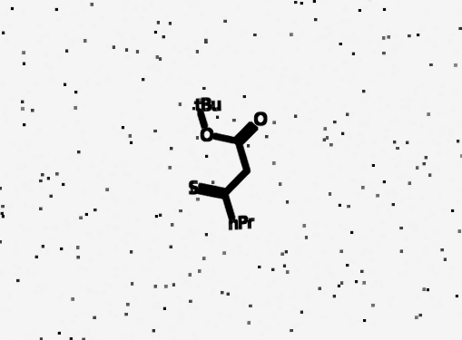 CCCC(=S)CC(=O)OC(C)(C)C